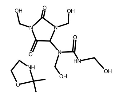 CC1(C)NCCO1.O=C1C(N(CO)C(=O)NCO)N(CO)C(=O)N1CO